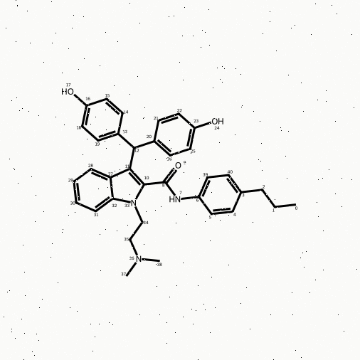 CCCc1ccc(NC(=O)c2c(C(c3ccc(O)cc3)c3ccc(O)cc3)c3ccccc3n2CCN(C)C)cc1